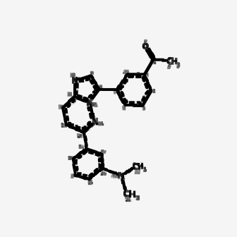 CC(=O)c1cccc(-c2cnc3ccc(-c4cccc(N(C)C)c4)nn23)c1